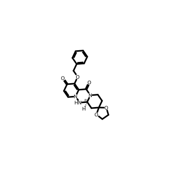 O=C1c2c(OCc3ccccc3)c(=O)ccn2N[C@@H]2CC3(CCN12)OCCO3